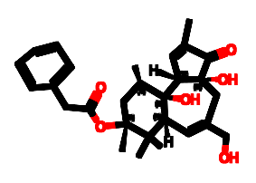 CC1=C[C@H]2[C@@]3(O)[C@H](C)C[C@@](C)(OC(=O)Cc4ccccc4)C(C)(C)[C@@H]3C=C(CO)C[C@]2(O)C1=O